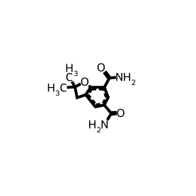 CC1(C)Cc2cc(C(N)=O)cc(C(N)=O)c2O1